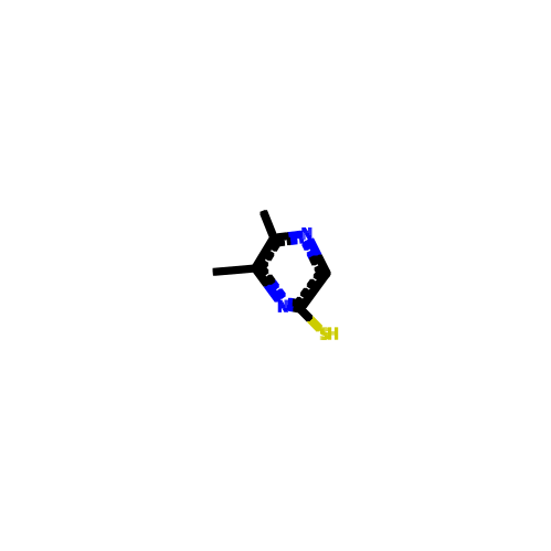 Cc1ncc(S)nc1C